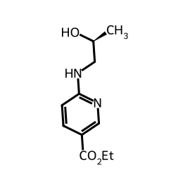 CCOC(=O)c1ccc(NC[C@H](C)O)nc1